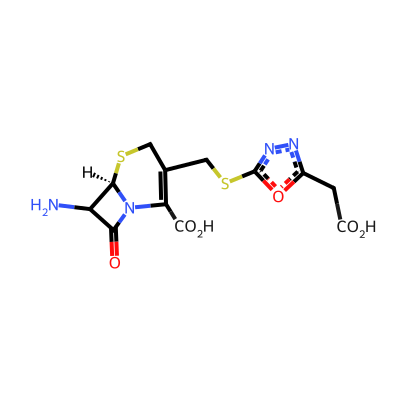 NC1C(=O)N2C(C(=O)O)=C(CSc3nnc(CC(=O)O)o3)CS[C@H]12